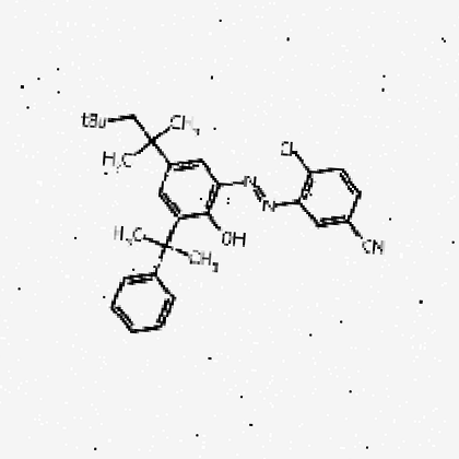 CC(C)(C)CC(C)(C)c1cc(/N=N/c2cc(C#N)ccc2Cl)c(O)c(C(C)(C)c2ccccc2)c1